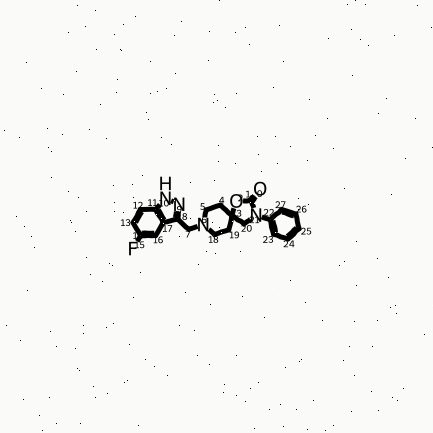 O=C1OC2(CCN(Cc3n[nH]c4ccc(F)cc34)CC2)CN1c1ccccc1